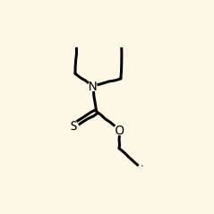 [CH2]COC(=S)N(CC)CC